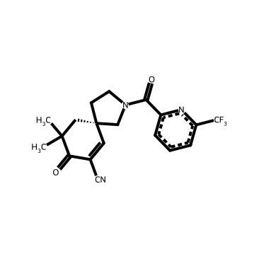 CC1(C)C[C@]2(C=C(C#N)C1=O)CCN(C(=O)c1cccc(C(F)(F)F)n1)C2